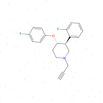 C#CCN1CC[C@H](Oc2ccc(F)cc2)[C@@H](c2ccccc2F)C1